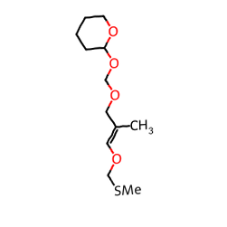 CSCO/C=C(\C)COCOC1CCCCO1